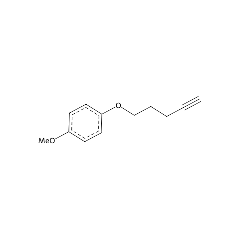 C#CCCCOc1ccc(OC)cc1